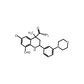 CC1(C(N)=O)CC(c2cccc(N3CCOCC3)c2)Nc2c([C]=O)cc(Cl)cc21